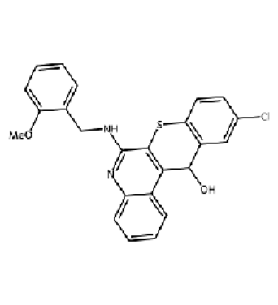 COc1ccccc1CNc1nc2ccccc2c2c1Sc1ccc(Cl)cc1C2O